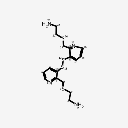 NCCSCc1ncccc1SSc1cccnc1CSCCN